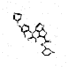 Cc1cc(Oc2cccnc2)ccc1N1C(=O)Nc2c(C(=O)NC3CCCN(C)C3)sc3nccc1c23